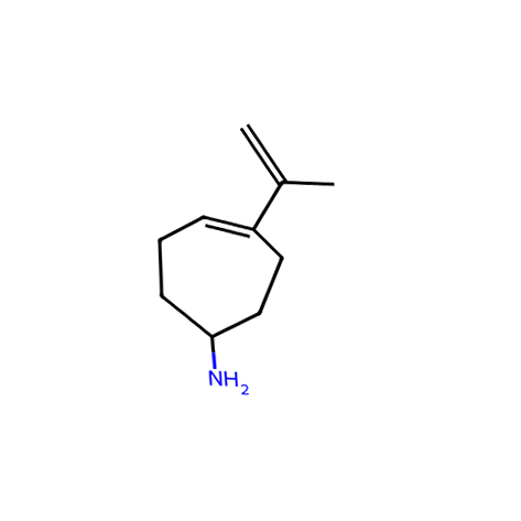 C=C(C)C1=CCCC(N)CC1